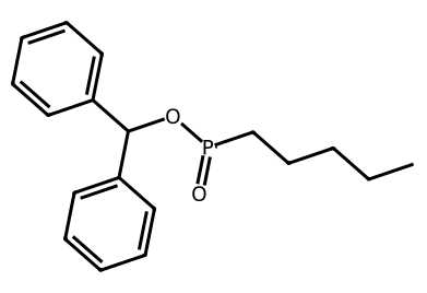 CCCCC[P](=O)OC(c1ccccc1)c1ccccc1